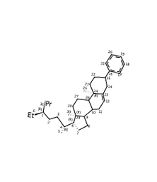 CC[C@H](CC[C@@H](C)[C@H]1CCC2C3CC=C4CC(c5[c]cccc5)CC[C@]4(C)C3CC[C@@]21C)C(C)C